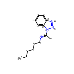 CC(=NCCCCCC(C)C)n1nnc2ccccc21